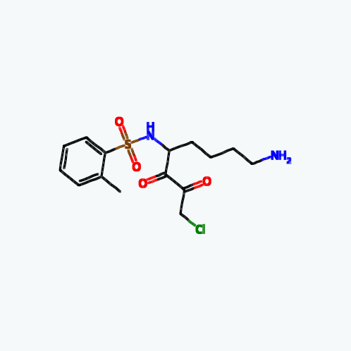 Cc1ccccc1S(=O)(=O)NC(CCCCN)C(=O)C(=O)CCl